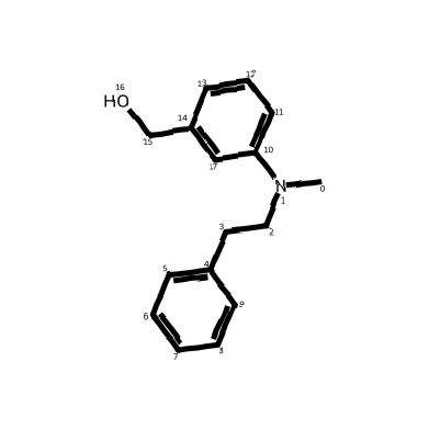 CN(CCc1ccccc1)c1cccc(CO)c1